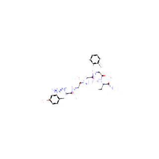 CC(C)C(NC(=O)[C@H](Cc1ccccc1)NC(=O)CNC(=O)CNC(=O)[C@H](Cc1ccc(O)cc1)N=[N+]=[N-])C(N)=O